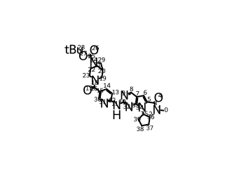 CN(C)C(=O)c1cc2cnc(Nc3ccc(C(=O)N4CC5CC(C4)N(C(=O)OC(C)(C)C)C5)cn3)nc2n1C1CCCC1